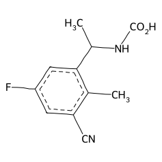 Cc1c(C#N)cc(F)cc1C(C)NC(=O)O